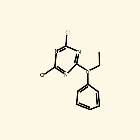 CCN(c1ccccc1)c1nc(Cl)nc(Cl)n1